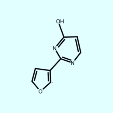 Oc1ccnc(-c2[c]occ2)n1